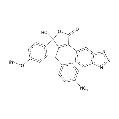 CC(C)Oc1ccc(C2(O)OC(=O)C(c3ccc4nsnc4c3)=C2Cc2ccc([N+](=O)[O-])cc2)cc1